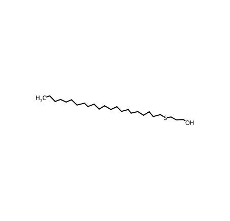 CCCCCCCCCCCCCCCCCCCCCCSCCCO